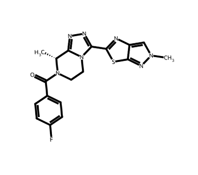 C[C@@H]1c2nnc(-c3nc4cn(C)nc4s3)n2CCN1C(=O)c1ccc(F)cc1